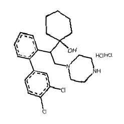 Cl.Cl.OC1(C(CN2CCNCC2)c2ccccc2-c2ccc(Cl)c(Cl)c2)CCCCC1